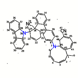 CC1/C=C\C=C/CN(C2=CCC(c3ccccc3C3(C#N)CCC=CC3(C)n3c4ccccc4c4ccccc43)C=C2)C2=C1C=CC=C(C#N)C2